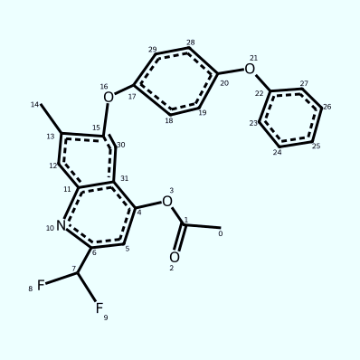 CC(=O)Oc1cc(C(F)F)nc2cc(C)c(Oc3ccc(Oc4ccccc4)cc3)cc12